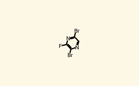 Fc1nc(Br)cnc1Br